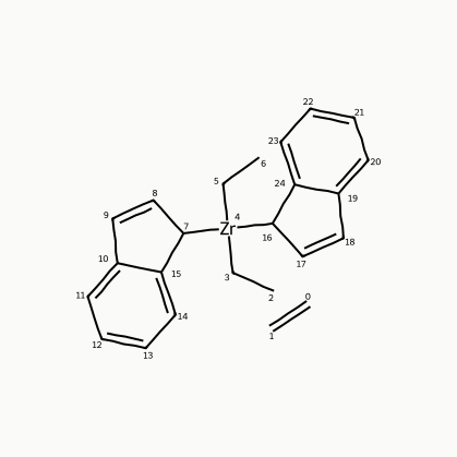 C=C.C[CH2][Zr]([CH2]C)([CH]1C=Cc2ccccc21)[CH]1C=Cc2ccccc21